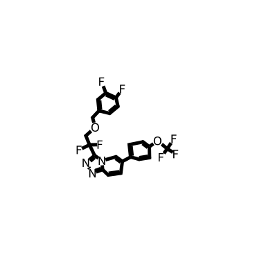 Fc1ccc(COCC(F)(F)c2nnc3ccc(-c4ccc(OC(F)(F)F)cc4)cn23)cc1F